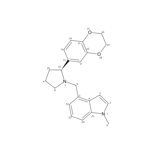 Cn1ccc2c(CN3CCC[C@H]3c3ccc4c(c3)OCCO4)cccc21